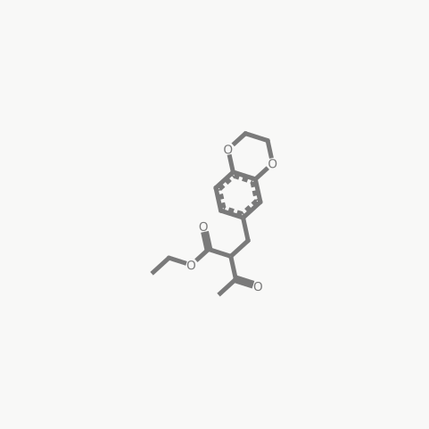 CCOC(=O)C(Cc1ccc2c(c1)OCCO2)C(C)=O